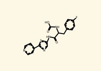 O=C(O)NC(Cc1ccc(F)cc1)C(=O)Nc1cnc(-c2ccncc2)s1